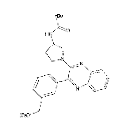 COCc1cccc(-c2nc3ccccc3nc2N2CCC(NC(=O)C(C)(C)C)C2)c1